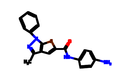 Cc1nn(-c2ccccc2)c2sc(C(=O)Nc3ccc(N)cc3)cc12